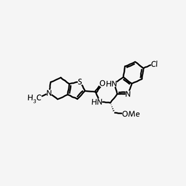 COC[C@H](NC(=O)c1cc2c(s1)CCN(C)C2)c1nc2cc(Cl)ccc2[nH]1